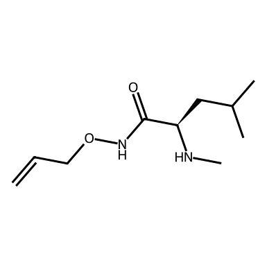 C=CCONC(=O)[C@@H](CC(C)C)NC